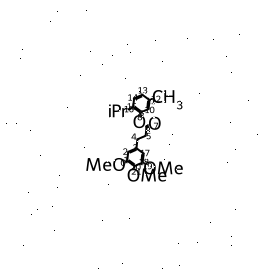 COc1cc(CCC(=O)Oc2cc(C)ccc2C(C)C)cc(OC)c1OC